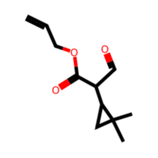 C=CCOC(=O)C(C=O)C1CC1(C)C